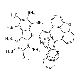 Bc1c(B)c(B)c2c(c1B)c1c(B)c(B)c(B)c(B)c1n2-c1nc(-c2ccccc2)nc(-c2cccc3oc4cccc(-c5cccc6c5sc5ccccc56)c4c23)n1